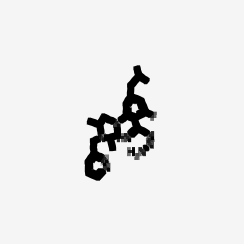 CC(C)Cc1cc(F)c(C(=N)/N=N\N)c(N2CC(C)N(Cc3cccnn3)C(C)C2)c1